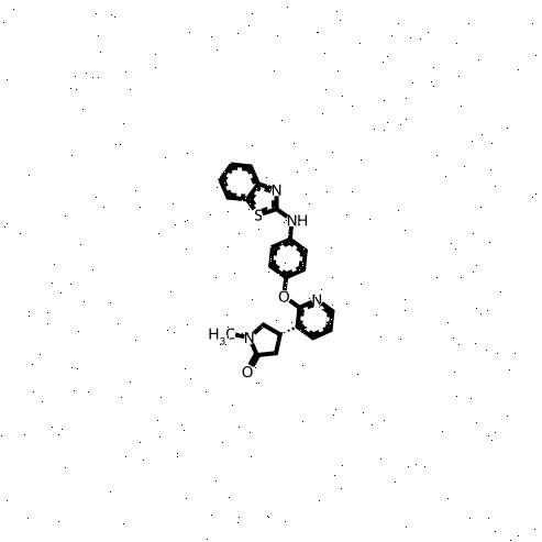 CN1C[C@H](c2cccnc2Oc2ccc(Nc3nc4ccccc4s3)cc2)CC1=O